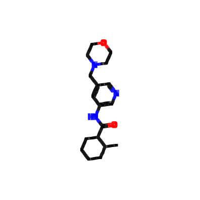 CC1CCCCC1C(=O)Nc1cncc(CN2CCOCC2)c1